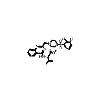 COC(=O)[C@@H](Nc1nc(CN2CCN(S(=O)(=O)c3cccc(Cl)c3Cl)CC2)nc2ccccc12)C(C)C